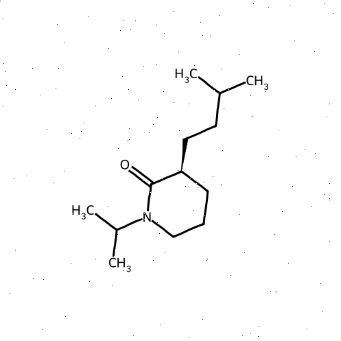 CC(C)CC[C@H]1CCCN(C(C)C)C1=O